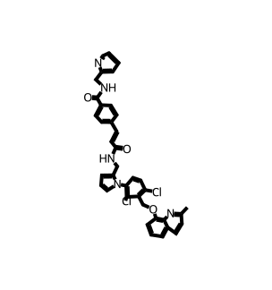 Cc1ccc2cccc(OCc3c(Cl)ccc(-n4cccc4CNC(=O)/C=C/c4ccc(C(=O)NCc5ccccn5)cc4)c3Cl)c2n1